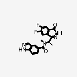 C[C@H](c1n[nH]c(=O)c2cc(F)c(F)cc12)N(C)C(=O)c1ccc2[nH]ncc2c1